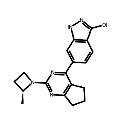 C[C@H]1CCN1c1nc2c(c(-c3ccc4c(O)n[nH]c4c3)n1)CCC2